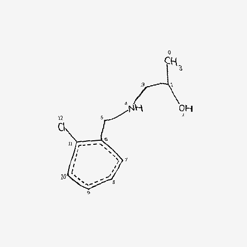 CC(O)CNCc1ccccc1Cl